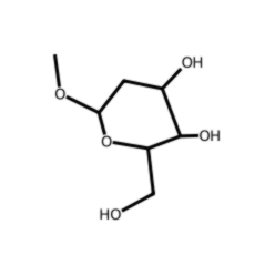 COC1CC(O)C(O)C(CO)O1